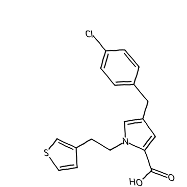 O=C(O)c1cc(Cc2ccc(Cl)cc2)cn1CCc1ccsc1